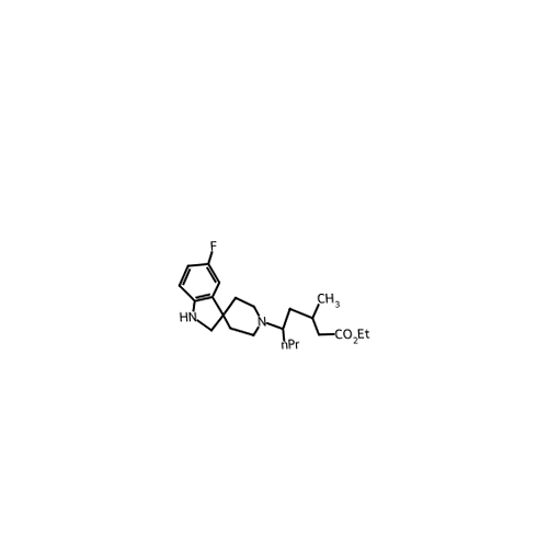 CCCC(CC(C)CC(=O)OCC)N1CCC2(CC1)CNc1ccc(F)cc12